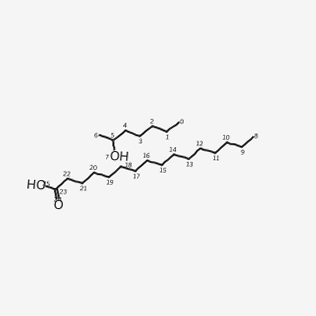 CCCCCC(C)O.CCCCCCCCCCCCCCCC(=O)O